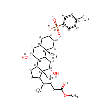 COC(=O)CC[C@@H](C)[C@H]1CCC2C3C(C[C@H](O)[C@@]21C)[C@@]1(C)CC[C@@H](OS(=O)(=O)c2ccc(C)cc2)CC1C[C@H]3O